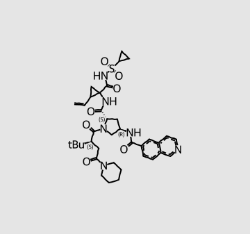 C=CC1CC1(NC(=O)[C@@H]1C[C@@H](NC(=O)c2ccc3cnccc3c2)CN1C(=O)[C@@H](CC(=O)N1CCCCC1)C(C)(C)C)C(=O)NS(=O)(=O)C1CC1